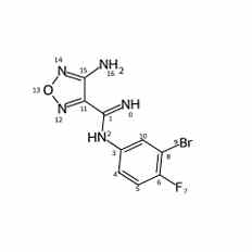 N=C(Nc1ccc(F)c(Br)c1)c1nonc1N